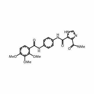 CNC(=O)c1nc[nH]c1C(=O)Nc1ccc(NC(=O)c2ccc(OC)c(OC)c2OC)cc1